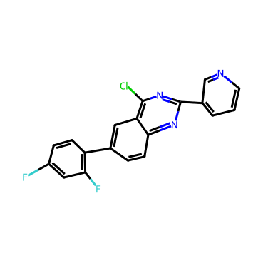 Fc1ccc(-c2ccc3nc(-c4cccnc4)nc(Cl)c3c2)c(F)c1